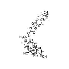 C[C@H](COC(=O)NS(=O)(=O)c1ccc2c(c1)CCC(C)(C)O2)[C@H]1CC[C@H]2[C@@H]3[C@H](O)C[C@@H]4C[C@H](O)CC[C@]4(C)[C@H]3CC[C@]12C